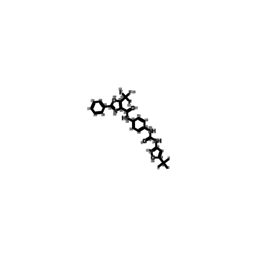 CC(C)(C)c1cc(NC(=O)Nc2ccc(NC(=O)c3nc(-c4ccccc4)oc3C(F)(F)F)cc2)no1